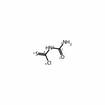 NC(=O)NC(=S)Cl